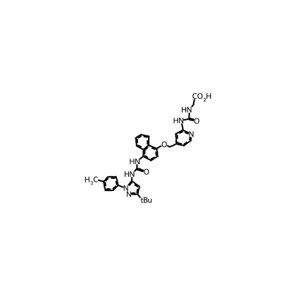 Cc1ccc(-n2nc(C(C)(C)C)cc2NC(=O)Nc2ccc(OCc3ccnc(NC(=O)NCC(=O)O)c3)c3ccccc23)cc1